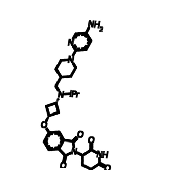 CC(C)N(CC1CCN(c2ccc(N)cn2)CC1)[C@H]1C[C@H](Oc2ccc3c(c2)C(=O)N(C2CCC(=O)NC2=O)C3=O)C1